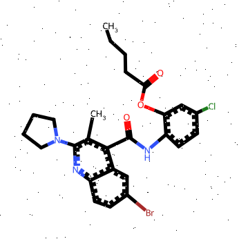 CCCCC(=O)Oc1cc(Cl)ccc1NC(=O)c1c(C)c(N2CCCC2)nc2ccc(Br)cc12